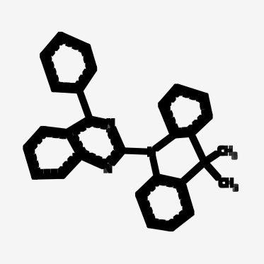 CC1(C)c2ccccc2N(c2nc(-c3ccccc3)c3ccccc3n2)c2ccccc21